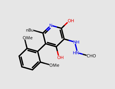 CCCCc1nc(O)c(NNC=O)c(O)c1-c1c(OC)cccc1OC